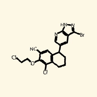 N#Cc1cc2c(c(Cl)c1OCCCl)CCCC2c1cnc2[nH]nc(Br)c2c1